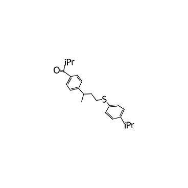 CC(C)C(=O)c1ccc(C(C)CCSc2ccc(C(C)C)cc2)cc1